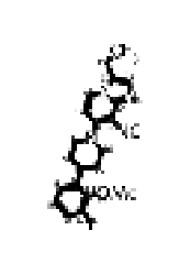 [C-]#[N+]c1c(N2CCC(c3cccc(F)c3OC)CC2)ccn2c(CC(F)(F)F)cnc12